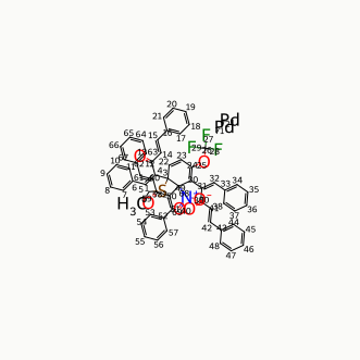 CCSC1(C(=Cc2ccccc2)C(=O)C=Cc2ccccc2)C=CC(OC(F)(F)F)=C(C(=Cc2ccccc2)C(=O)C=Cc2ccccc2)C1(C(=Cc1ccccc1)C(=O)C=Cc1ccccc1)[N+](=O)[O-].[Pd].[Pd]